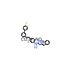 O=C(O)c1ccc(-c2ccc(F)cc2)cc1/C=C/c1ccc(NCCc2cc3ccccc3[nH]2)c([N+](=O)[O-])c1